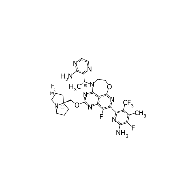 Cc1c(F)c(N)nc(-c2nc3c4c(nc(OC[C@@]56CCCN5C[C@H](F)C6)nc4c2F)N([C@H](C)c2nccnc2N)CCO3)c1C(F)(F)F